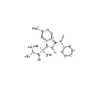 CCCCCCC(NC(C)=O)(C(=O)N(CCCC)CCCC)c1c(C)n(C(=O)c2ccccc2)c2ccc(OC)cc12